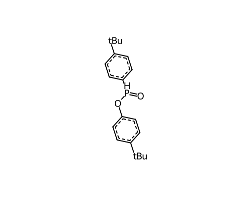 CC(C)(C)c1ccc(O[PH](=O)c2ccc(C(C)(C)C)cc2)cc1